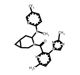 Cc1ccc(-n2cnc(C)n2)c(C(=O)N2CC3CC3CC2N(C)c2ccc(C(F)(F)F)cn2)n1